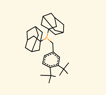 CC(C)(C)c1ccc(CP(C23CC4CC(CC(C4)C2)C3)C23CC4CC(CC(C4)C2)C3)cc1C(C)(C)C